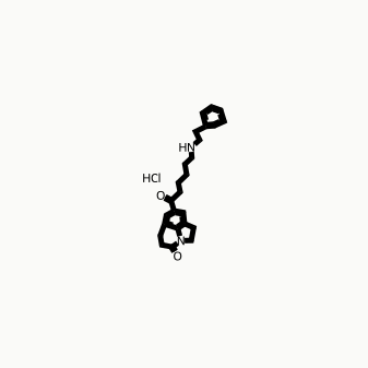 Cl.O=C(CCCCCNCCc1ccccc1)c1cc2c3c(c1)CCN3C(=O)CC2